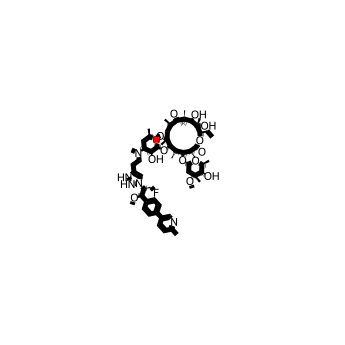 CC[C@H]1OC(=O)[C@H](C)[C@@H](O[C@H]2C[C@@](C)(OC)[C@@H](O)[C@H](C)O2)[C@H](C)[C@@H](O[C@@H]2O[C@H](C)C[C@H](N(C)CCC3=CN([C@H](CF)[C@H](OC)c4ccc(-c5ccc(C)nc5)cc4)NN3)[C@H]2O)[C@](C)(OC)C[C@@H](C)C(=O)[C@H](C)[C@@H](O)[C@]1(C)O